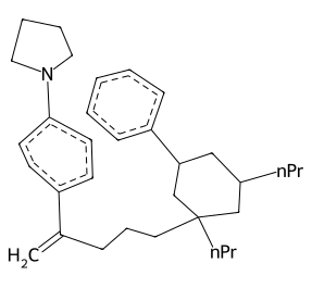 C=C(CCCC1(CCC)CC(CCC)CC(c2ccccc2)C1)c1ccc(N2CCCC2)cc1